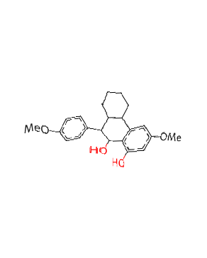 COc1ccc(C2C(O)c3c(O)cc(OC)cc3C3CCCCC32)cc1